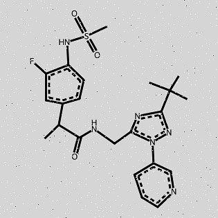 CC(C(=O)NCc1nc(C(C)(C)C)nn1-c1cccnc1)c1ccc(NS(C)(=O)=O)c(F)c1